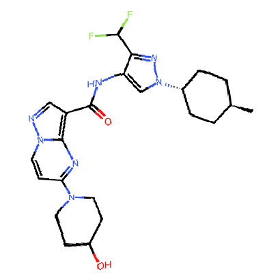 C[C@H]1CC[C@H](n2cc(NC(=O)c3cnn4ccc(N5CCC(O)CC5)nc34)c(C(F)F)n2)CC1